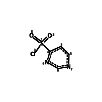 O=S(=O)(Cl)c1ccncn1